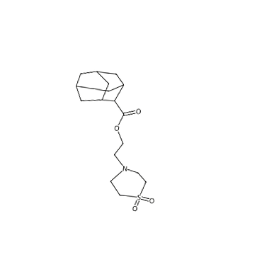 O=C(OCCN1CCS(=O)(=O)CC1)C1C2CC3CC(C2)CC1C3